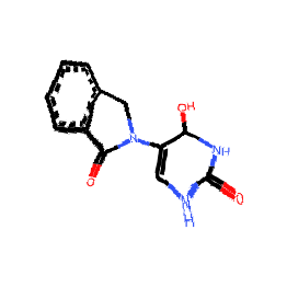 O=C1NC=C(N2Cc3ccccc3C2=O)C(O)N1